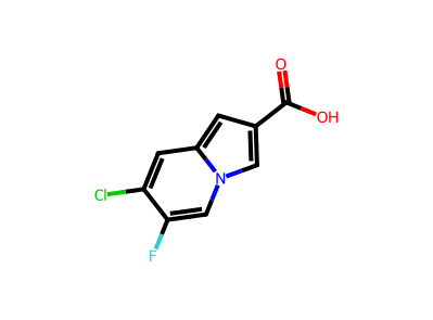 O=C(O)c1cc2cc(Cl)c(F)cn2c1